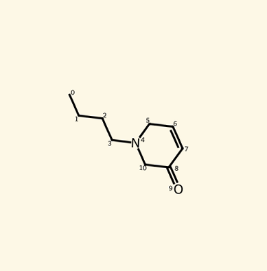 CCCCN1CC=CC(=O)C1